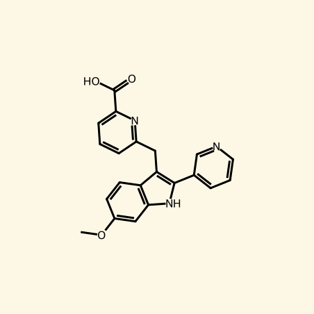 COc1ccc2c(Cc3cccc(C(=O)O)n3)c(-c3cccnc3)[nH]c2c1